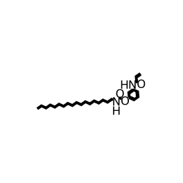 C=CC(=O)Nc1cccc(OC(=O)NCCCCCCCCCCCCCCCCCC)c1